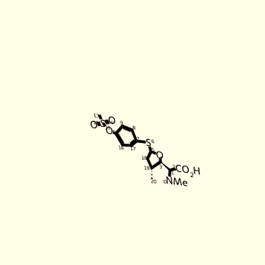 CNC(C(=O)O)[C@@H]1OC(Sc2ccc(OS(C)(=O)=O)cc2)C[C@H]1C